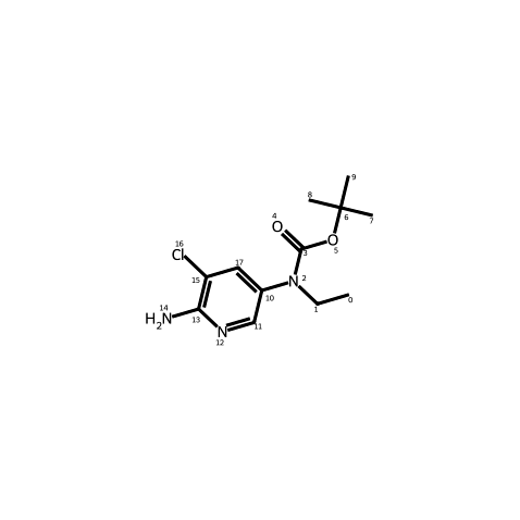 CCN(C(=O)OC(C)(C)C)c1cnc(N)c(Cl)c1